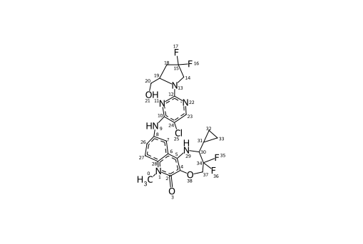 Cn1c(=O)c2c(c3cc(Nc4nc(N5CC(F)(F)CC5CO)ncc4Cl)ccc31)NC(C1CC1)C(F)(F)CO2